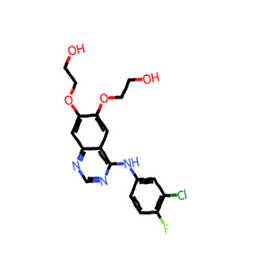 OCCOc1cc2ncnc(Nc3ccc(F)c(Cl)c3)c2cc1OCCO